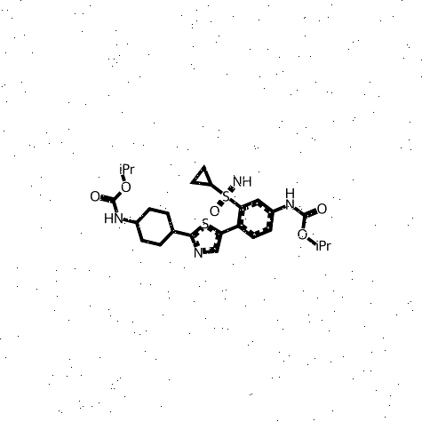 CC(C)OC(=O)Nc1ccc(-c2cnc(C3CCC(NC(=O)OC(C)C)CC3)s2)c(S(=N)(=O)C2CC2)c1